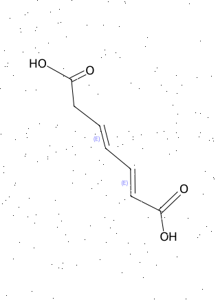 O=C(O)/C=C/C=C/CC(=O)O